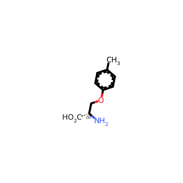 Cc1ccc(OC[C@H](N)C(=O)O)cc1